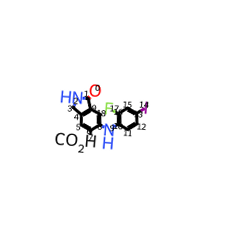 O=C1NCc2cc(C(=O)O)c(Nc3ccc(I)cc3F)cc21